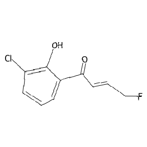 O=C(/C=C/CF)c1cccc(Cl)c1O